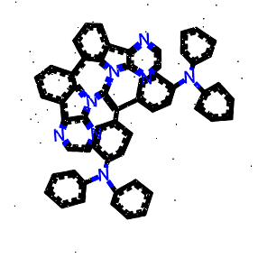 c1ccc(N(c2ccccc2)c2ccc(C(c3ccc(N(c4ccccc4)c4ccccc4)cc3)=c3n4c5nccnc5c5cccc(c6cccc7c8nccnc8n3c67)c54)cc2)cc1